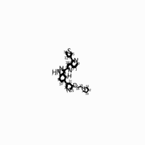 c1cc2[nH]c(-c3n[nH]c4ccc(-c5cncc(OCCN6CCCC6)c5)cc34)cc2c(-c2ccsc2)n1